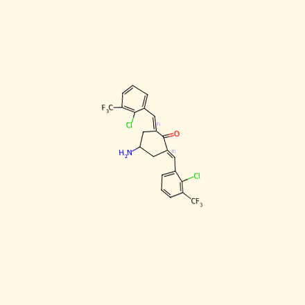 NC1C/C(=C\c2cccc(C(F)(F)F)c2Cl)C(=O)/C(=C/c2cccc(C(F)(F)F)c2Cl)C1